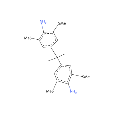 CSc1cc(C(C)(C)c2cc(SC)c(N)c(SC)c2)cc(SC)c1N